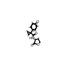 O=C1OCC[C@@H]1NC(=O)C1(c2ccc(Cl)cc2)CC1